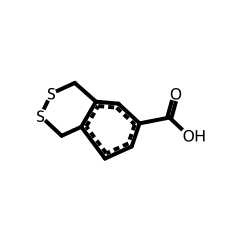 O=C(O)c1ccc2c(c1)CSSC2